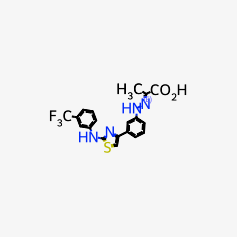 C/C(=N\Nc1cccc(-c2csc(Nc3cccc(C(F)(F)F)c3)n2)c1)C(=O)O